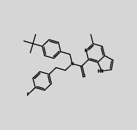 Cc1cc2cc[nH]c2c(C(=O)N(CCc2ccc(F)cc2)Cc2ccc(C(C)(C)C)cc2)n1